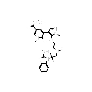 CCN(CCOc1c(-c2cc(C(=O)OC)cn(C)c2=O)cnn1C)CC(C)(C)n1c(N)nc2ccccc21